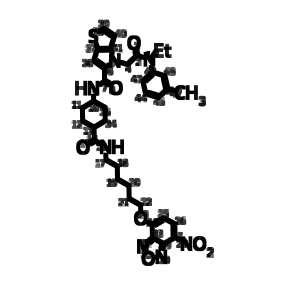 CCN(C(=O)Cn1c(C(=O)NC2CCC(C(=O)NCCCCCCOc3ccc([N+](=O)[O-])c4nonc34)CC2)cc2sccc21)c1cccc(C)c1